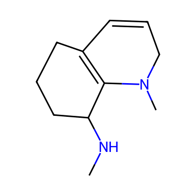 CNC1CCCC2=C1N(C)CC=C2